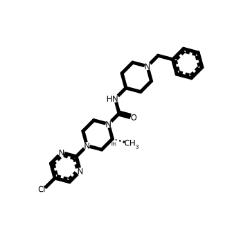 C[C@@H]1CN(c2ncc(Cl)cn2)CCN1C(=O)NC1CCN(Cc2ccccc2)CC1